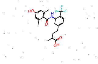 Cc1cc(O)cc(C)c1C(=O)NC1CC(CCC(C)C(=O)O)=CC=C1C(F)(F)F